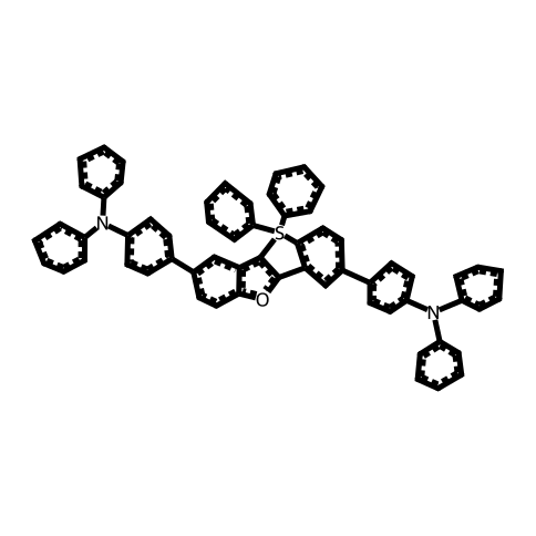 c1ccc(N(c2ccccc2)c2ccc(-c3ccc4c(c3)-c3oc5ccc(-c6ccc(N(c7ccccc7)c7ccccc7)cc6)cc5c3S4(c3ccccc3)c3ccccc3)cc2)cc1